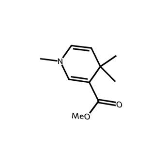 COC(=O)C1=CN(C)C=CC1(C)C